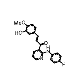 COc1ccc(C=CC(=O)c2cccnc2Nc2ccc(F)cc2)cc1O